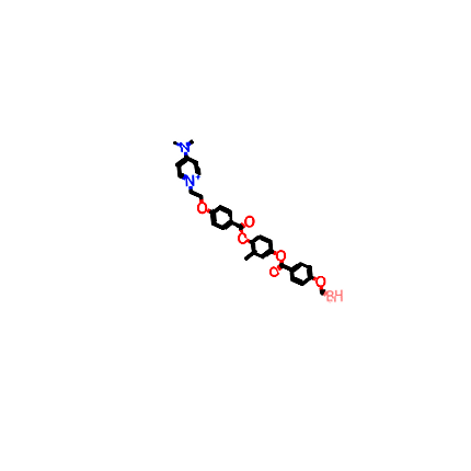 B=COc1ccc(C(=O)Oc2ccc(OC(=O)c3ccc(OCC[n+]4ccc(N(C)C)cc4)cc3)c(C)c2)cc1